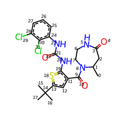 CC1CC(=O)NCCN1C(=O)c1cc(C(C)(C)C)sc1NC(=O)Nc1cccc(Cl)c1Cl